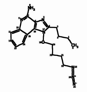 CCCCc1nc2c(N)nc3ccccc3c2n1OCCCCN=[N+]=[N-]